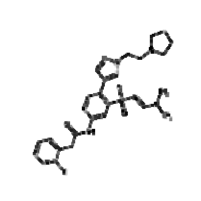 CN(C)C=NS(=O)(=O)c1cc(NC(=O)Cc2ccccc2Cl)ccc1-c1cnn(CCN2CCCC2)c1